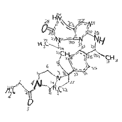 C=CC(=O)N1CCN(C(CC)(CC)c2ccc([C@H](C)Nc3ncc4[nH]c(=O)n(CC)c4n3)cc2)CC1